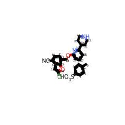 Cc1ccc(S(=O)(=O)O)cc1.N#Cc1ccc(COc2cccc(C3CCNCC3)n2)c2oc(Cl)cc12